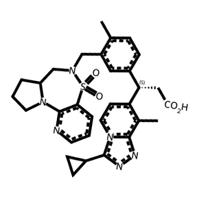 Cc1ccc([C@H](CC(=O)O)c2ccn3c(C4CC4)nnc3c2C)cc1CN1CC2CCCN2c2ncccc2S1(=O)=O